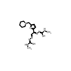 CN/C(S)=N/N=C(/C=N/N=C(\S)NC)c1ccc(CN2CCCCC2)o1